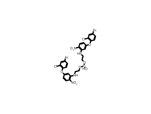 CC(=O)c1ccc(Oc2ccc([N+](=O)[O-])c(NCCO[PH](=O)OCCNc3cc(Oc4ccc(C(C)=O)cc4Cl)ccc3[N+](=O)[O-])c2)c(Cl)c1